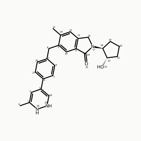 CC1=CC(c2ccc(Cc3cc4c(cc3C)CN([C@H]3CCC[C@@H]3O)C4=O)cc2)=CNN1